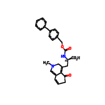 CN1C=C2C=CCC(=O)C2=C(C[C@@H](NC(=O)OCc2ccc(-c3ccccc3)cc2)C(=O)O)C1